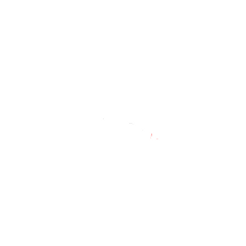 CCC=CCC=CCC=CCC=CCC=CCC=CCCCO